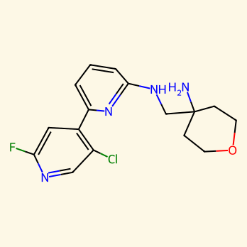 NC1(CNc2cccc(-c3cc(F)ncc3Cl)n2)CCOCC1